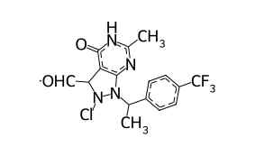 Cc1nc2c(c(=O)[nH]1)C([C]=O)N(Cl)N2C(C)c1ccc(C(F)(F)F)cc1